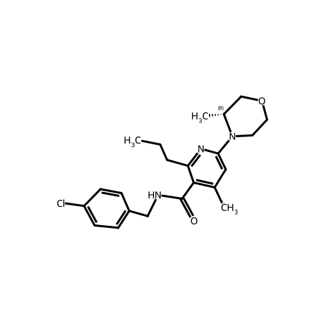 CCCc1nc(N2CCOC[C@H]2C)cc(C)c1C(=O)NCc1ccc(Cl)cc1